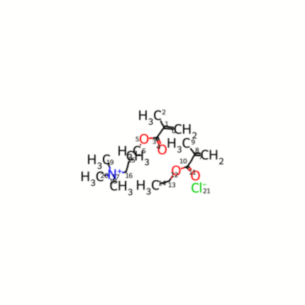 C=C(C)C(=O)OC.C=C(C)C(=O)OCC.CC[N+](C)(C)C.[Cl-]